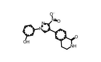 O=C1NCCc2cc(-c3cn(-c4cccc(O)c4)nc3[N+](=O)[O-])ccc21